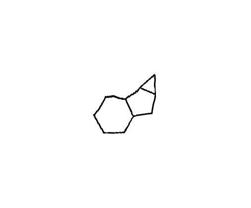 C1CCC2C(C1)CC1CC12